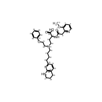 COc1cccnc1CC(=O)NC(CCN(CCCCc1ccc2c(n1)NCCC2)CCOc1ccccc1)C(=O)O